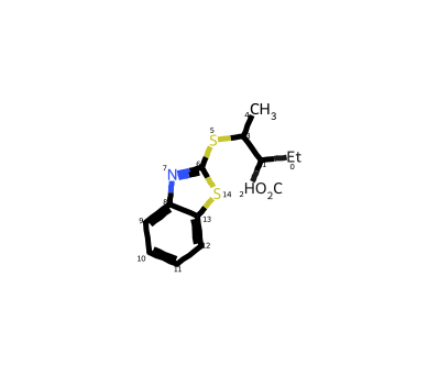 CCC(C(=O)O)C(C)Sc1nc2ccccc2s1